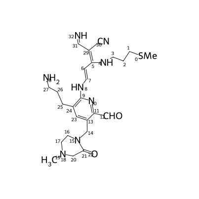 CSCCCNC(/C=C/Nc1nc(C=O)c(CN2CCN(C)CC2=O)cc1CCCN)=C(\C#N)C=N